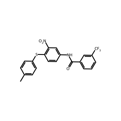 Cc1ccc(Sc2ccc(NC(=O)c3cccc(C(F)(F)F)c3)cc2[N+](=O)[O-])cc1